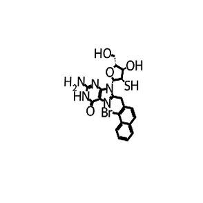 Nc1nc2c(nc(Cc3ccc4ccccc4c3Br)n2[C@@H]2O[C@H](CO)[C@@H](O)[C@H]2S)c(=O)[nH]1